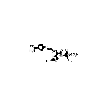 CC1C(NC(=O)C(=NOCCOc2ccc(C(=N)N)nc2)c2csc(N)n2)C(=O)N1S(=O)(=O)O